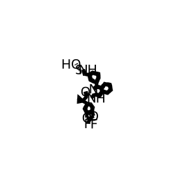 O=C(Nc1cc2ccccc2c(-c2cccc(CNSO)c2)n1)C1(c2ccc3c(c2)OC(F)(F)O3)CC1